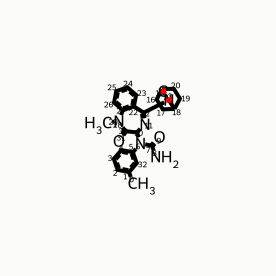 Cc1cccc(N(C(N)=O)C2N=C(N3CC4CCC(CC4)C3)c3ccccc3N(C)C2=O)c1